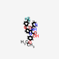 CC(C)Oc1ccc(-n2c(C(=O)O)c(NC(=O)c3cccnc3)c3cc(Oc4ccc(C(F)(F)F)cc4)ccc32)cc1